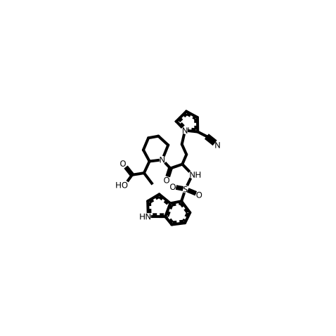 CC(C(=O)O)C1CCCCN1C(=O)C(CCn1cccc1C#N)NS(=O)(=O)c1cccc2[nH]ccc12